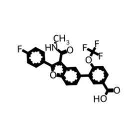 CNC(=O)c1c(-c2ccc(F)cc2)oc2ccc(-c3cc(C(=O)O)ccc3OC(F)(F)F)cc12